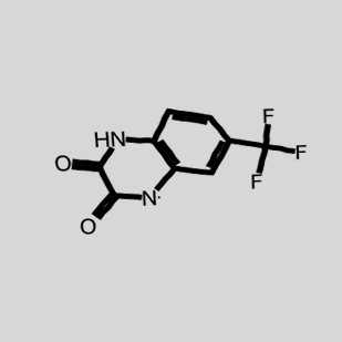 O=C1[N]c2cc(C(F)(F)F)ccc2NC1=O